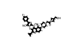 CN(c1nc(-c2ccc(F)cc2)c(C#N)s1)c1c(F)c(C2CC2)nc2ccc(N3CCN(CC(=O)N4CC(CO)C4)CC3)c(F)c12